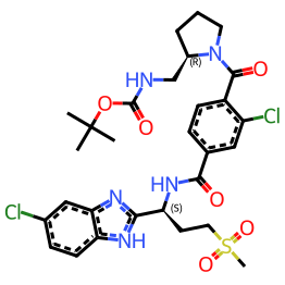 CC(C)(C)OC(=O)NC[C@H]1CCCN1C(=O)c1ccc(C(=O)N[C@@H](CCS(C)(=O)=O)c2nc3cc(Cl)ccc3[nH]2)cc1Cl